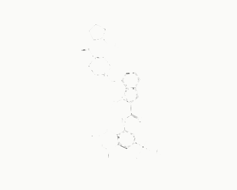 COc1c(NC(=O)c2cc3cccc(CN4CCN(C(=O)[C@@H]5CCCN5C)CC4)c3n2C)cc(C(C)(C)C)cc1[S+](C)[O-]